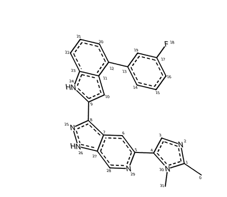 Cc1ncc(-c2cc3c(-c4cc5c(-c6cccc(F)c6)cccc5[nH]4)n[nH]c3cn2)n1C